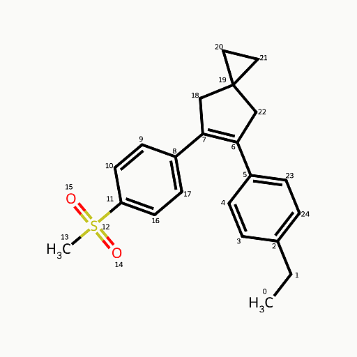 CCc1ccc(C2=C(c3ccc(S(C)(=O)=O)cc3)CC3(CC3)C2)cc1